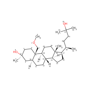 COC[C@]12CC[C@](C)(O)C[C@@H]1CC[C@H]1[C@@H]3CC[C@H]([C@H](C)CCC(C)(C)O)[C@@]3(C)CC[C@@H]12